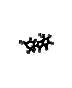 [2H]c1c([2H])c(N)c2c(c1[2H])C(=O)N([C@@]1([2H])C(=O)NC(=C)CC1([2H])[2H])C2